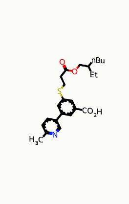 CCCCC(CC)COC(=O)CCSc1cc(C(=O)O)cc(-c2ccc(C)nc2)c1